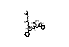 CCC(=O)OCOC(=O)CCC(=O)NC(CNC(=O)C(C)(Cc1c[nH]c2ccccc12)NC(=O)O)c1ccccc1